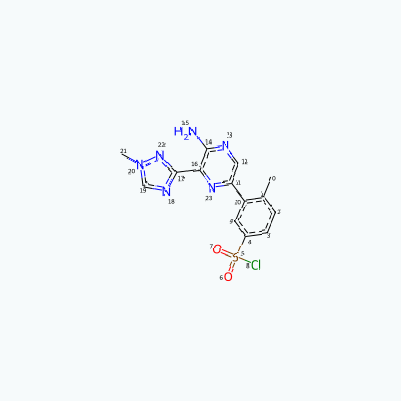 Cc1ccc(S(=O)(=O)Cl)cc1-c1cnc(N)c(-c2ncn(C)n2)n1